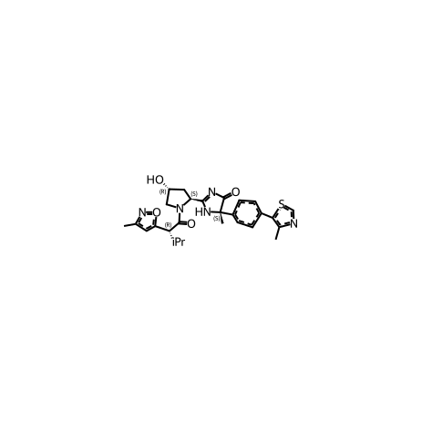 Cc1cc([C@H](C(=O)N2C[C@H](O)C[C@H]2C2=NC(=O)[C@](C)(c3ccc(-c4scnc4C)cc3)N2)C(C)C)on1